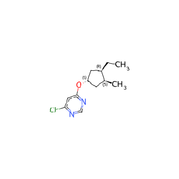 CC[C@@H]1C[C@@H](Oc2cc(Cl)ncn2)C[C@@H]1C